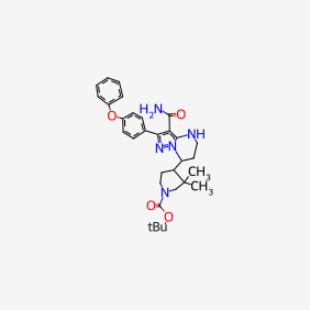 CC(C)(C)OC(=O)N1CCC(C2CCNc3c(C(N)=O)c(-c4ccc(Oc5ccccc5)cc4)nn32)C(C)(C)C1